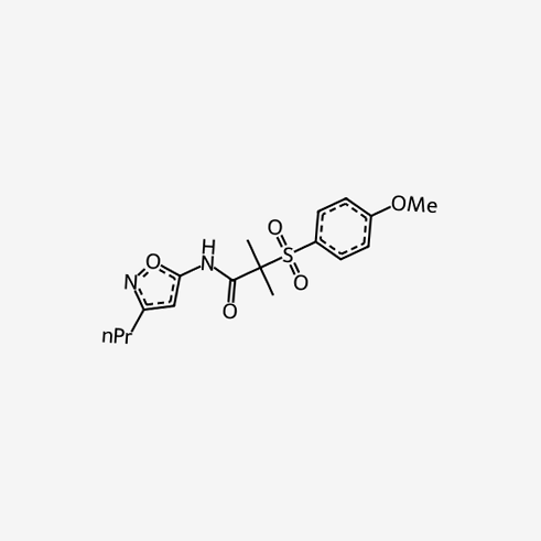 CCCc1cc(NC(=O)C(C)(C)S(=O)(=O)c2ccc(OC)cc2)on1